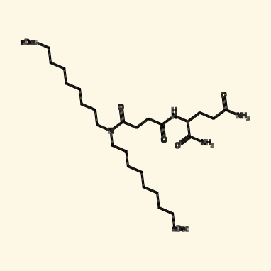 CCCCCCCCCCCCCCCCCCN(CCCCCCCCCCCCCCCCCC)C(=O)CCC(=O)NC(CCC(N)=O)C(N)=O